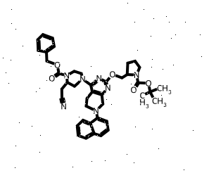 CC(C)(C)OC(=O)N1CCCC1COc1nc2c(c(N3CCN(C(=O)OCc4ccccc4)C(CC#N)C3)n1)CCN(c1cccc3ccccc13)C2